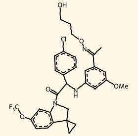 COc1cc(NC(C(=O)N2CC3(CC3)c3ccc(OC(F)(F)F)cc32)c2ccc(Cl)cc2)cc(C(C)=NOCCCO)c1